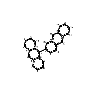 [c]1c2ccccc2c(-c2ccc3cc4ccccc4cc3c2)c2ccccc12